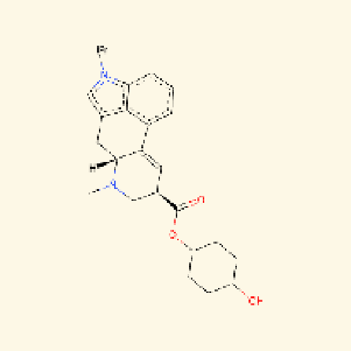 CC(C)n1cc2c3c(cccc31)C1=C[C@@H](C(=O)OC3CCC(O)CC3)CN(C)[C@@H]1C2